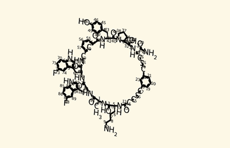 C[C@H]1NC(=O)[C@H](CCCCN)NC(=O)CCSCc2cccc(c2)CSC[C@@H](C(N)=O)NC(=O)[C@]2(C)CCCN2C(=O)[C@H](Cc2ccc(O)cc2)NC(=O)c2cccc(c2)CNC(=O)[C@H](Cc2c[nH]c3ccc(F)cc23)NC(=O)[C@@H](Cc2c[nH]c3ccc(F)cc23)NC1=O